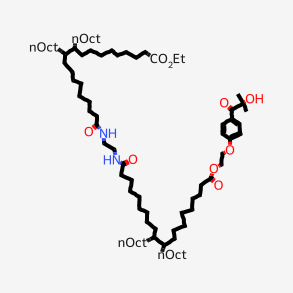 CCCCCCCCC(CCCCCCCCC(=O)NCCNC(=O)CCCCCCCCC(CCCCCCCC)C(CCCCCCCC)CCCCCCCCC(=O)OCCOc1ccc(C(=O)C(C)(C)O)cc1)C(CCCCCCCC)CCCCCCCCC(=O)OCC